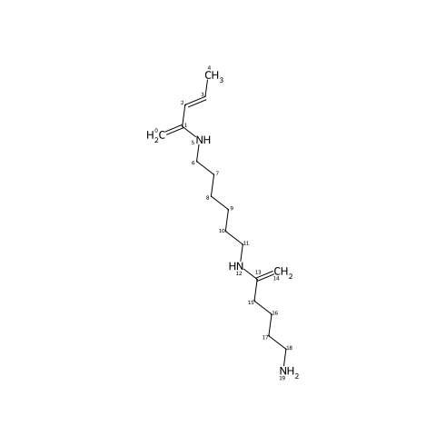 C=C(/C=C/C)NCCCCCCNC(=C)CCCCN